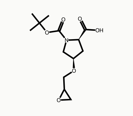 CC(C)(C)OC(=O)N1C[C@H](OCC2CO2)C[C@@H]1C(=O)O